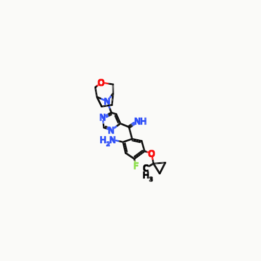 CC1(Oc2cc(C(=N)c3cc(N4C5CCC4COC5)ncn3)c(N)cc2F)CC1